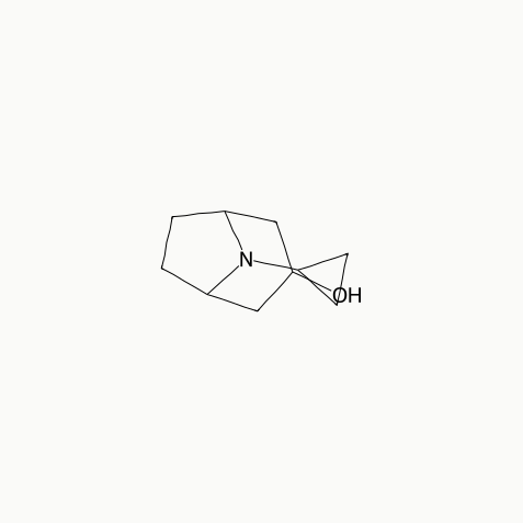 OC1CC2CCC(C1)N2C1CC1